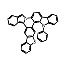 c1ccc(-n2c3ccccc3c3ccc4c(c5cc6sc7ccccc7c6cc5c5c6ccccc6cn45)c32)cc1